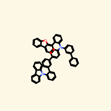 c1ccc(-c2cccc(N(c3ccc(-c4cccc(-c5ccccc5-n5c6ccccc6c6ccccc65)c4)cc3)c3ccccc3-c3cccc4c3oc3ccccc34)c2)cc1